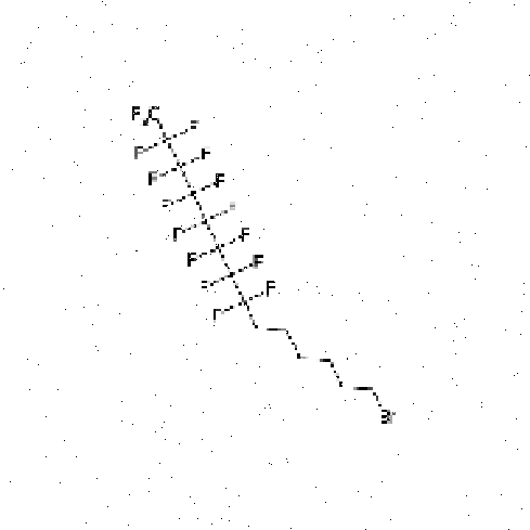 FC(F)(F)C(F)(F)C(F)(F)C(F)(F)C(F)(F)C(F)(F)C(F)(F)C(F)(F)CCCCCCBr